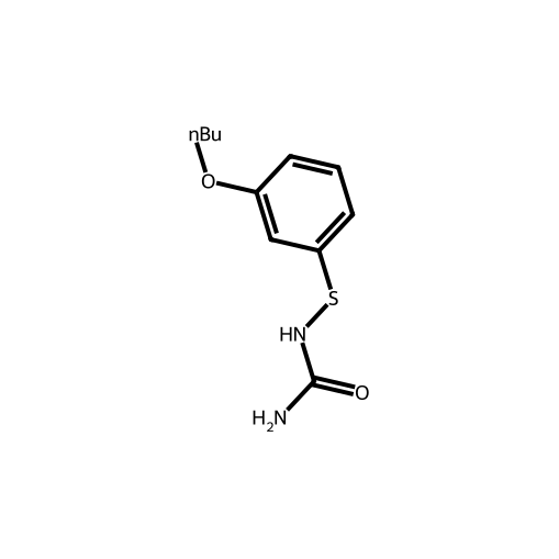 CCCCOc1cccc(SNC(N)=O)c1